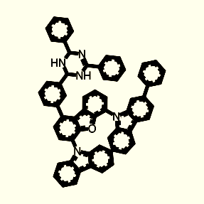 c1ccc(C2=NC(c3ccccc3)NC(c3cccc(-c4ccc(-n5c6ccccc6c6ccccc65)c5oc6c(-n7c8ccccc8c8ccc(-c9ccccc9)cc87)cccc6c45)c3)N2)cc1